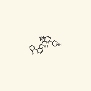 Fc1ccccc1-c1nccc2[nH]c(-c3n[nH]c4ccc(C5=CCNCC5)nc34)cc12